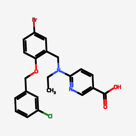 CCN(Cc1cc(Br)ccc1OCc1cccc(Cl)c1)c1ccc(C(=O)O)cn1